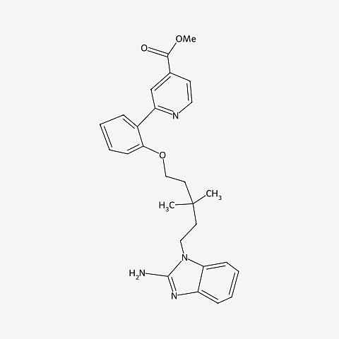 COC(=O)c1ccnc(-c2ccccc2OCCC(C)(C)CCn2c(N)nc3ccccc32)c1